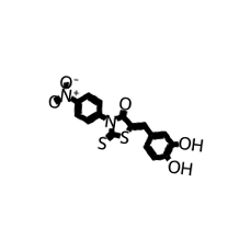 O=C1/C(=C/c2ccc(O)c(O)c2)SC(=S)N1c1ccc([N+](=O)[O-])cc1